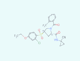 N#CC1(NC(=O)[C@@H]2C[C@@H](S(=O)(=O)c3ccc(OCC(F)(F)F)cc3Cl)CN2C(=O)c2ccccc2C(F)(F)F)CC1